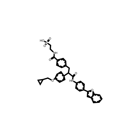 O=C(NCCS(=O)(=O)O)c1ccc(CC(C(=O)Nc2ccc(-c3cc4ccccc4o3)cc2)c2ccc(OCC3CC3)cc2)cc1